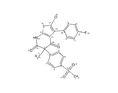 CC1(c2ccc(S(C)(=O)=O)cc2)C(=O)Nc2sc(Cl)c(-c3ccc(F)cc3)c2C1=O